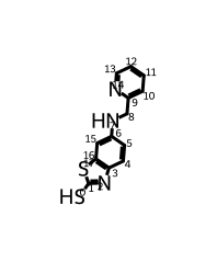 Sc1nc2ccc(NCc3ccccn3)cc2s1